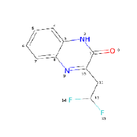 O=c1[nH]c2ccccc2nc1CC(F)F